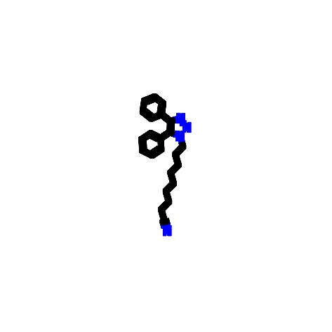 N#CCCCCCCCCn1nnc(-c2ccccc2)c1-c1ccccc1